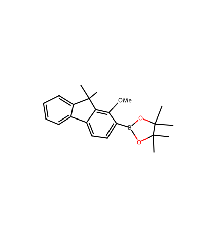 COc1c(B2OC(C)(C)C(C)(C)O2)ccc2c1C(C)(C)c1ccccc1-2